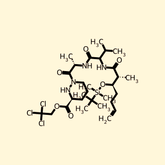 C=CCC[C@@H](O[Si](C)(C)C(C)(C)C)[C@@H](C)C(=O)NC(C(=O)N[C@@H](C)C(=O)N1CCC[C@@H](C(=O)OCC(Cl)(Cl)Cl)N1)C(C)C